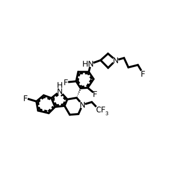 FCCCN1CC(Nc2cc(F)c([C@H]3c4[nH]c5cc(F)ccc5c4CCN3CC(F)(F)F)c(F)c2)C1